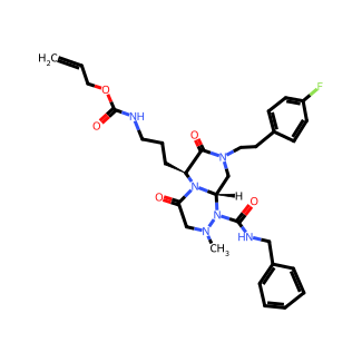 C=CCOC(=O)NCCC[C@H]1C(=O)N(CCc2ccc(F)cc2)C[C@H]2N1C(=O)CN(C)N2C(=O)NCc1ccccc1